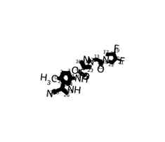 Cc1ccc(NS(=O)(=O)c2cnn(CC(=O)N3C[C@@H](F)[C@@H](F)C3)c2)c2[nH]cc(C#N)c12